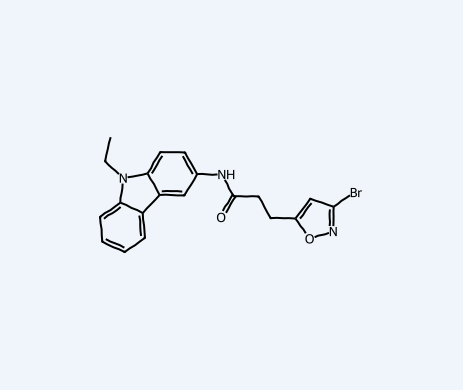 CCn1c2ccccc2c2cc(NC(=O)CCc3cc(Br)no3)ccc21